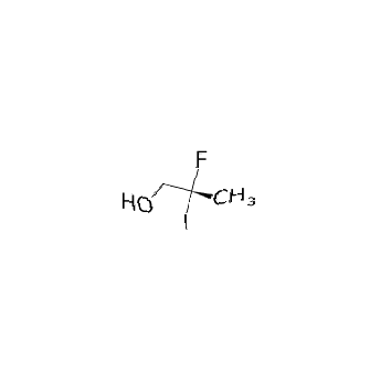 C[C@@](F)(I)CO